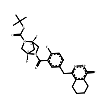 CC(C)(C)OC(=O)N1C[C@@H]2C[C@H]1CN2C(=O)c1cc(Cc2n[nH]c(=O)c3c2CCCC3)ccc1F